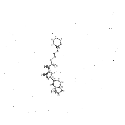 O=C(CCCCN1CCCCC1)Nc1cc(-c2ccc3cc[nH]c3c2)n[nH]1